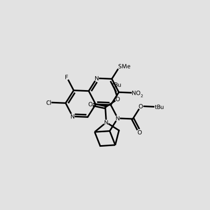 CSc1nc2c(F)c(Cl)ncc2c(N(C(=O)OC(C)(C)C)C2C3CC2N(C(=O)OC(C)(C)C)C3)c1[N+](=O)[O-]